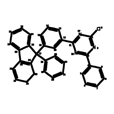 Clc1nc(-c2ccccc2)nc(-c2cccc(C3(c4ccccc4)C4=C(C=CCC4)c4ccccc43)c2)n1